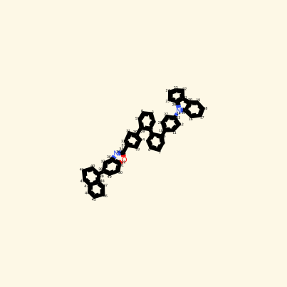 c1ccc(-c2ccccc2-c2ccc(-n3c4ccccc4c4ccccc43)cc2)c(-c2ccc(-c3nc4cc(-c5cccc6ccccc56)ccc4o3)cc2)c1